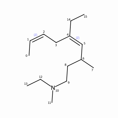 C/C=C\C/C(=C\C(C)CCN(C)CC)CC